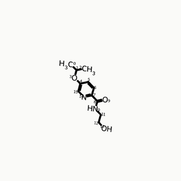 CC(C)Oc1ccc(C(=O)NCCO)nc1